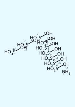 N.O=S(=O)(O)O.O=S(=O)(O)O.O=S(=O)(O)O.O=S(=O)(O)O.O=S(=O)(O)O.O=S(=O)(O)O.O=S(=O)(O)O.O=S(=O)(O)O.O=S(=O)(O)O